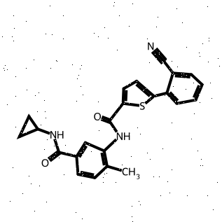 Cc1ccc(C(=O)NC2CC2)cc1NC(=O)c1ccc(-c2ccccc2C#N)s1